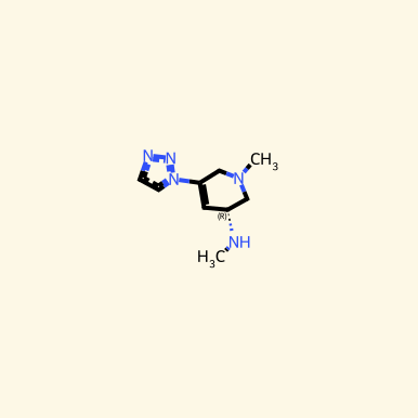 CN[C@@H]1C=C(n2ccnn2)CN(C)C1